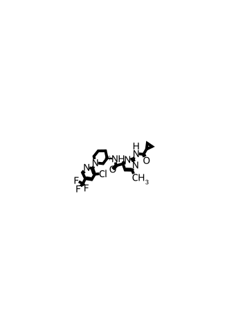 Cc1cc(C(=O)N[C@@H]2CCCN(c3ncc(C(F)(F)F)cc3Cl)C2)nc(NC(=O)C2CC2)n1